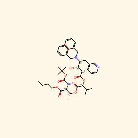 CCCCOC(=O)[C@@H](NC(=O)OC(C)(C)C)[C@@H](C)OC(=O)[C@@H](OC(=O)[C@H](C)[C@H](O)[C@H](Cc1cccnc1)N(Cc1ccccc1)Cc1ccccc1)C(C)C